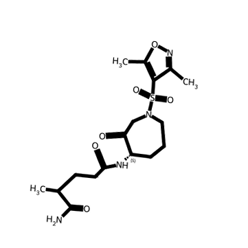 Cc1noc(C)c1S(=O)(=O)N1CCC[C@H](NC(=O)[CH]CC(C)C(N)=O)C(=O)C1